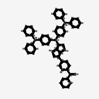 O=C(c1ccccn1)c1ccc(-c2csc3c(N(c4ccc(N(c5ccccc5)c5ccccc5)cc4)c4ccc(N(c5ccccc5)c5ccccc5)cc4)csc23)cn1